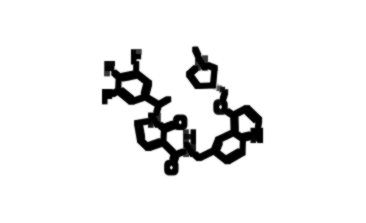 CC(c1cc(F)c(F)c(F)c1)n1cccc(C(=O)NCc2ccc3nccc(OC[C@@H]4CCN(C)C4)c3c2)c1=O